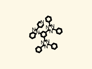 c1ccc(-c2nc(-c3ccccc3)nc(-c3cc(-c4nc(-c5ccccc5)nc(-c5ccccc5)n4)cc(-n4c(-c5ccncc5)nc5ccccc54)c3)n2)cc1